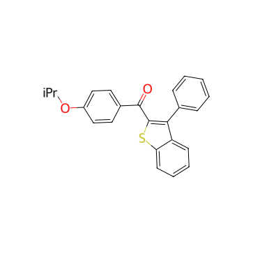 CC(C)Oc1ccc(C(=O)c2sc3ccccc3c2-c2ccccc2)cc1